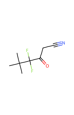 CC(C)(C)C(F)(F)C(=O)CC#N